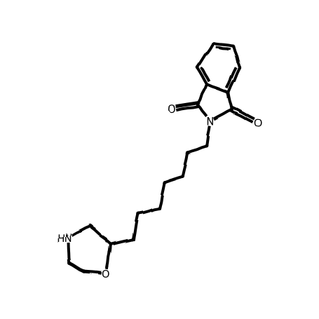 O=C1c2ccccc2C(=O)N1CCCCCCCC1CNCCO1